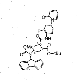 COC(=O)N(C1c2ccccc2-c2ccccc21)[C@H]1C[C@@H](C(=O)Nc2ccc(-n3ccccc3=O)cc2F)N(C(=O)OC(C)(C)C)C1